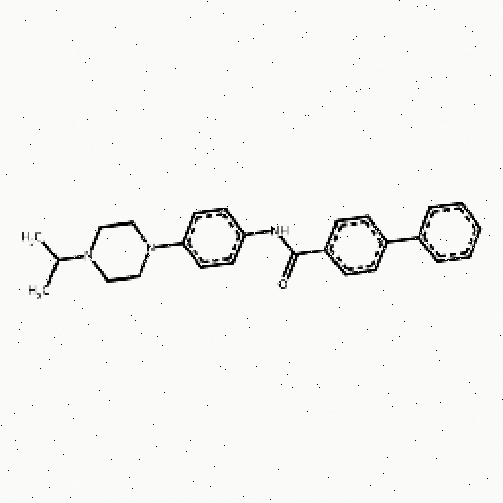 CC(C)N1CCN(c2ccc(NC(=O)c3ccc(-c4ccccc4)cc3)cc2)CC1